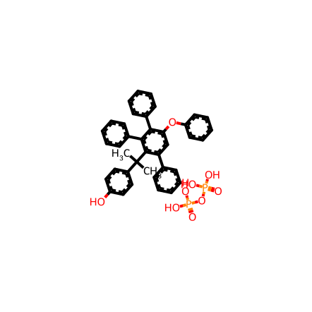 CC(C)(c1ccc(O)cc1)c1c(-c2ccccc2)cc(Oc2ccccc2)c(-c2ccccc2)c1-c1ccccc1.O=P(O)(O)OP(=O)(O)O